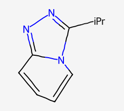 CC(C)c1nnc2ccccn12